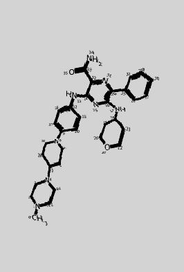 CN1CCN(C2CCN(c3ccc(Nc4nc(NC5CCOCC5)c(-c5ccccc5)nc4C(N)=O)cc3)CC2)CC1